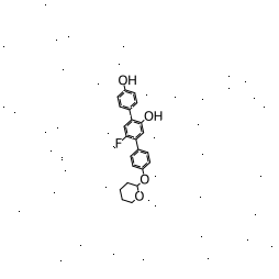 Oc1ccc(-c2cc(F)c(-c3ccc(OC4CCCCO4)cc3)cc2O)cc1